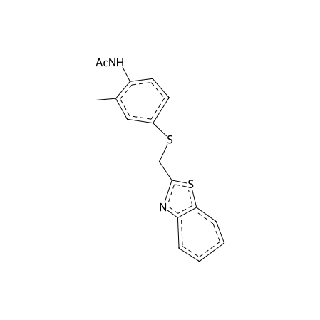 CC(=O)Nc1ccc(SCc2nc3ccccc3s2)cc1C